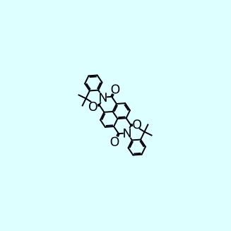 CC(C)(C)c1ccccc1N1C(=O)c2ccc3c4c(ccc(c24)C1=O)C(=O)N(c1ccccc1C(C)(C)C)C3=O